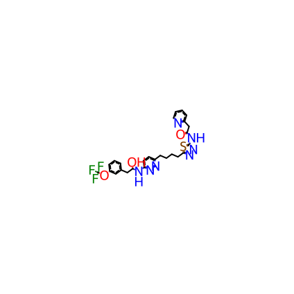 O=C(Cc1ccccn1)Nc1nnc(CCCCc2ccc(NC(O)Cc3cccc(OC(F)(F)F)c3)nn2)s1